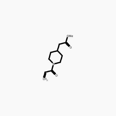 C=CC(=O)N1CCC(CC(=O)OC)CC1